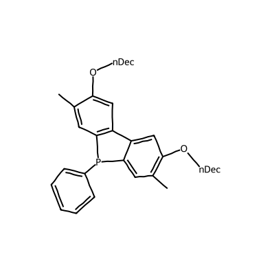 CCCCCCCCCCOc1cc2c3cc(OCCCCCCCCCC)c(C)cc3p(-c3ccccc3)c2cc1C